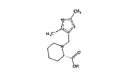 Cc1nc(C)c(CN2CCCC[C@H]2C(=O)O)s1